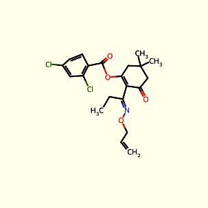 C=CCON=C(CC)C1=C(OC(=O)c2ccc(Cl)cc2Cl)CC(C)(C)CC1=O